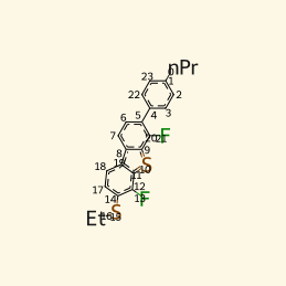 CCCc1ccc(-c2ccc3c(sc4c(F)c(SCC)ccc43)c2F)cc1